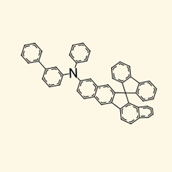 c1ccc(-c2cccc(N(c3ccccc3)c3ccc4cc5c(cc4c3)C3(c4ccccc4-c4ccccc43)c3c-5ccc4ccccc34)c2)cc1